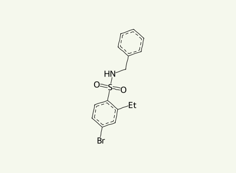 CCc1cc(Br)ccc1S(=O)(=O)NCc1ccccc1